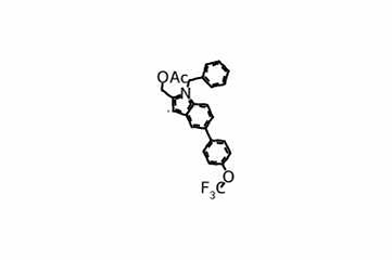 CC(=O)OCc1[c]c2cc(-c3ccc(OC(F)(F)F)cc3)ccc2n1Cc1ccccc1